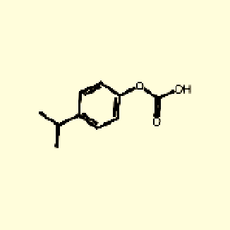 CC(C)c1ccc(OC(=O)O)cc1